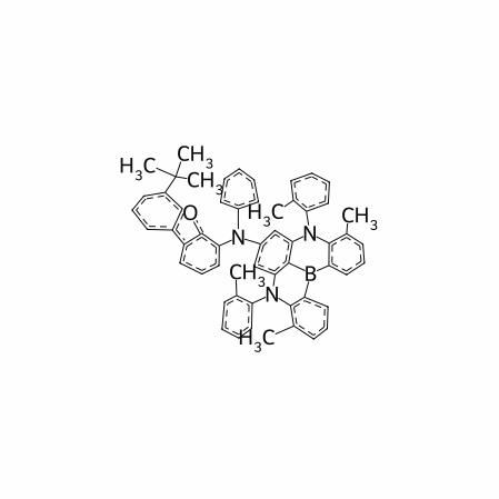 Cc1ccccc1N1c2cc(N(c3ccccc3)c3cccc4c3oc3c(C(C)(C)C)cccc34)cc3c2B(c2cccc(C)c21)c1cccc(C)c1N3c1ccccc1C